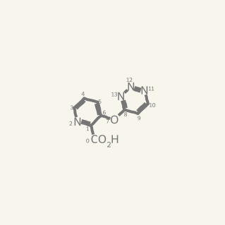 O=C(O)c1ncccc1Oc1ccnnn1